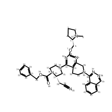 CN1CCC[C@H]1COc1nc2c(c(N3CCN(C(=O)OCc4ccccc4)[C@@H](CC#N)C3)n1)CCN(c1nncc3ccccc13)C2